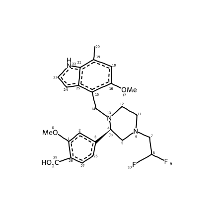 COc1cc([C@@H]2CN(CC(F)F)CCN2Cc2c(OC)cc(C)c3[nH]ccc23)ccc1C(=O)O